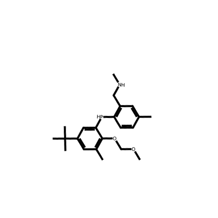 CNCc1cc(C)ccc1Pc1cc(C(C)(C)C)cc(C)c1OCOC